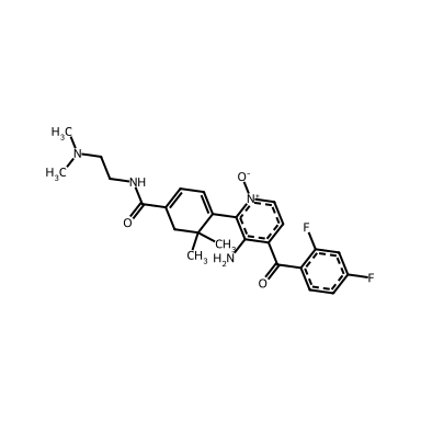 CN(C)CCNC(=O)C1=CC=C(c2c(N)c(C(=O)c3ccc(F)cc3F)cc[n+]2[O-])C(C)(C)C1